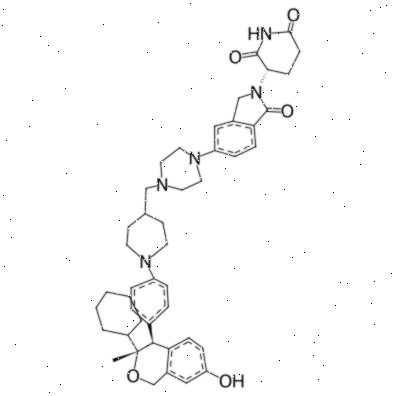 C[C@]1(C2CCCCC2)OCc2cc(O)ccc2[C@@H]1c1ccc(N2CCC(CN3CCN(c4ccc5c(c4)CN([C@H]4CCC(=O)NC4=O)C5=O)CC3)CC2)cc1